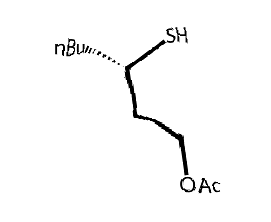 CCCC[C@H](S)CCOC(C)=O